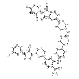 NC(=O)c1nnc(N2CCCC(N3CCN(c4cccc(F)c4)C3=O)C2)nc1Nc1ccc(C2CCN(CC3CCN(c4ccc5c(c4)C(=O)N(C4CCC(=O)NC4=O)C5=O)CC3)CC2)cc1